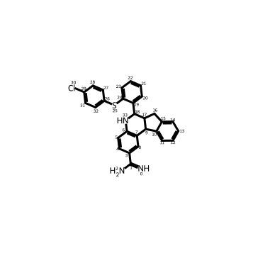 N=C(N)c1ccc2c(c1)C1c3ccccc3CC1C(c1ccccc1Sc1ccc(Cl)cc1)N2